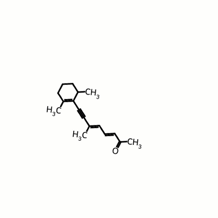 CC(=O)C=CC=C(C)C#CC1=C(C)CCCC1C